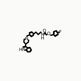 O=C(COCc1ccc(F)cc1)NCCCc1ccc(CN2CCC(c3c[nH]c4ccccc34)CC2)cc1